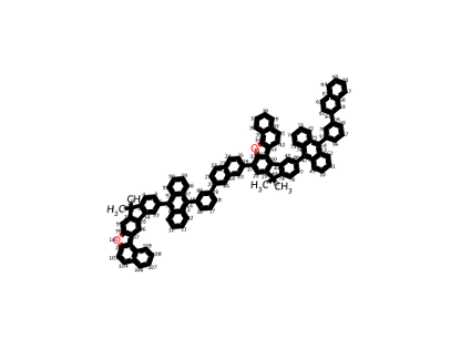 CC1(C)c2ccc(-c3c4ccccc4c(-c4cccc(-c5ccc6ccc(-c7cc8c(c9c7oc7c%10ccccc%10ccc79)-c7cc(-c9c%10ccccc%10c(-c%10cccc(-c%11ccc%12ccccc%12c%11)c%10)c%10ccccc9%10)ccc7C8(C)C)cc6c5)c4)c4ccccc34)cc2-c2cc3c(cc21)oc1ccc2ccccc2c13